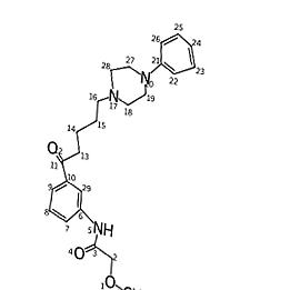 COCC(=O)Nc1cccc(C(=O)CCCCN2CCN(c3ccccc3)CC2)c1